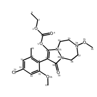 CCOC(=O)Oc1c(-c2c(C)cc(Cl)cc2OC)c(=O)n2n1CCN(OC)CC2